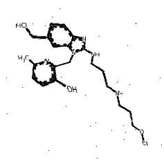 CCOCCCNCCCNc1nc2ccc(CO)cc2n1Cc1nc(C)ccc1O